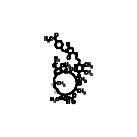 COc1cc2cc(c1Cl)N(C)C(=O)CC(OC(=O)C(C)N(C)C(=O)CCSC1CC(=O)N(CC3CCC(C(C)=O)CC3)C1=O)C1(C)OC1C(C)C1CC(O)(NC(=O)O1)C(OC)/C=C/C=C(\C)C2